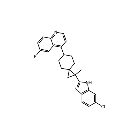 CC1(c2nc3ccc(Cl)cc3[nH]2)CC12CCC(c1ccnc3ccc(F)cc13)CC2